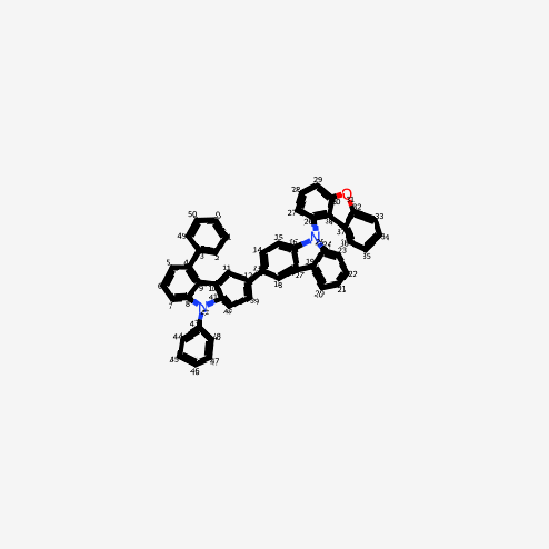 c1ccc(-c2cccc3c2c2cc(-c4ccc5c(c4)c4ccccc4n5-c4cccc5oc6ccccc6c45)ccc2n3-c2ccccc2)cc1